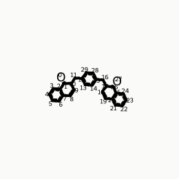 O=C1c2ccccc2C=CC1Cc1ccc(CC2C=Cc3ccccc3C2=O)cc1